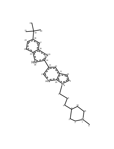 CN1CCC(CCCn2ccc3cc(-c4nc5cc(C(C)(C)C)ccc5[nH]4)cnc32)CC1